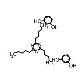 CCCCCc1nc(CCCCC)nc(CCCCC)n1.Oc1cccc(O)c1.Oc1cccc(O)c1